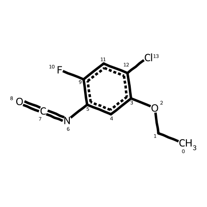 CCOc1cc(N=C=O)c(F)cc1Cl